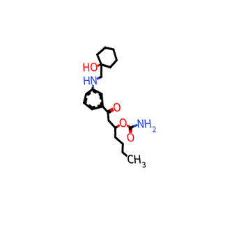 CCCCC(CC(=O)c1cccc(NCC2(O)CCCCC2)c1)OC(N)=O